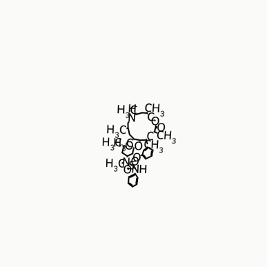 CC1COC(=O)C(C)CC(C)C(O[C@H]2O[C@@H](C)C[C@@H](N(C)S(=O)(=O)Nc3ccccc3)[C@@H]2Oc2ccccc2)C(C)CC(C)CNC(C)C1